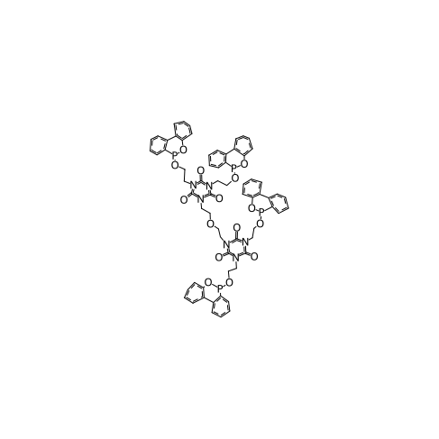 O=c1n(CCOCCn2c(=O)n(CCOP3Oc4ccccc4-c4ccccc43)c(=O)n(CCOP3Oc4ccccc4-c4ccccc43)c2=O)c(=O)n(CCOP2Oc3ccccc3-c3ccccc32)c(=O)n1CCOP1Oc2ccccc2-c2ccccc21